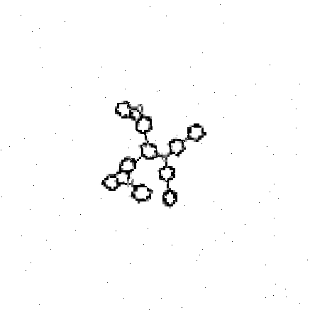 c1ccc(-c2ccc(N(c3ccc(-c4ccccc4)cc3)c3cc(-c4ccc5oc6ccccc6c5c4)cc(-c4ccc5c6ccccc6n(-c6ccccc6)c5c4)c3)cc2)cc1